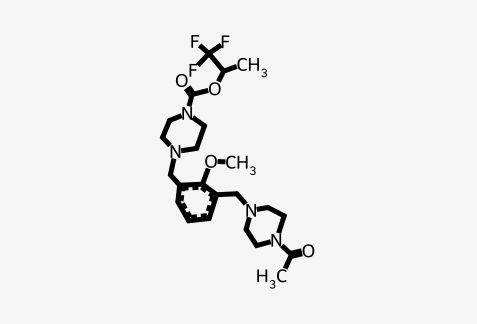 COc1c(CN2CCN(C(C)=O)CC2)cccc1CN1CCN(C(=O)OC(C)C(F)(F)F)CC1